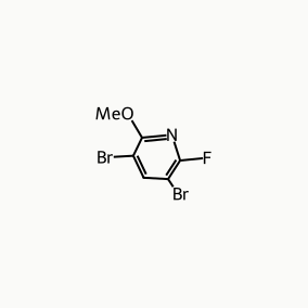 COc1nc(F)c(Br)cc1Br